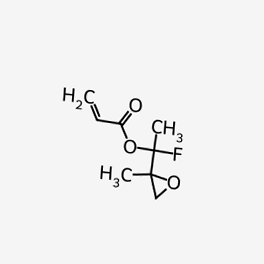 C=CC(=O)OC(C)(F)C1(C)CO1